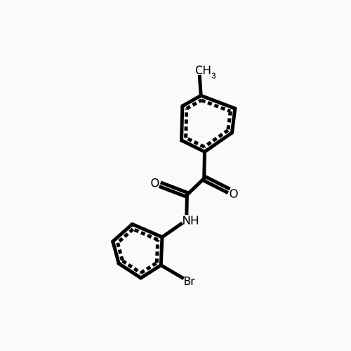 Cc1ccc(C(=O)C(=O)Nc2ccccc2Br)cc1